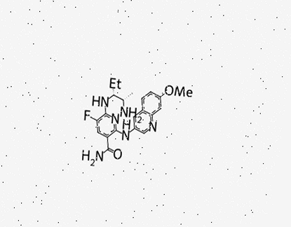 CC[C@@H](Nc1nc(Nc2cnc3cc(OC)ccc3c2)c(C(N)=O)cc1F)[C@H](C)N